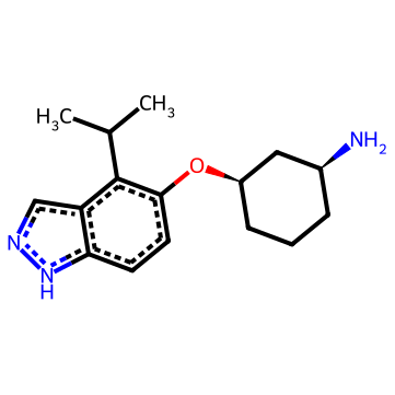 CC(C)c1c(O[C@@H]2CCC[C@H](N)C2)ccc2[nH]ncc12